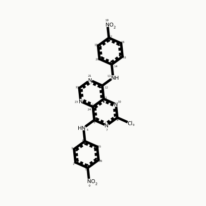 O=[N+]([O-])c1ccc(Nc2nc(Cl)nc3c(Nc4ccc([N+](=O)[O-])cc4)ncnc23)cc1